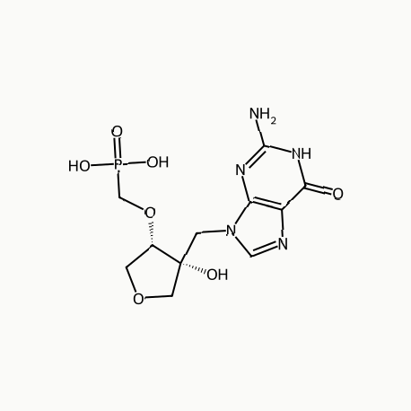 Nc1nc2c(ncn2C[C@@]2(O)COC[C@@H]2OCP(=O)(O)O)c(=O)[nH]1